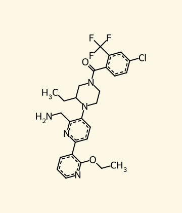 CCOc1ncccc1-c1ccc(N2CCN(C(=O)c3ccc(Cl)cc3C(F)(F)F)CC2CC)c(CN)n1